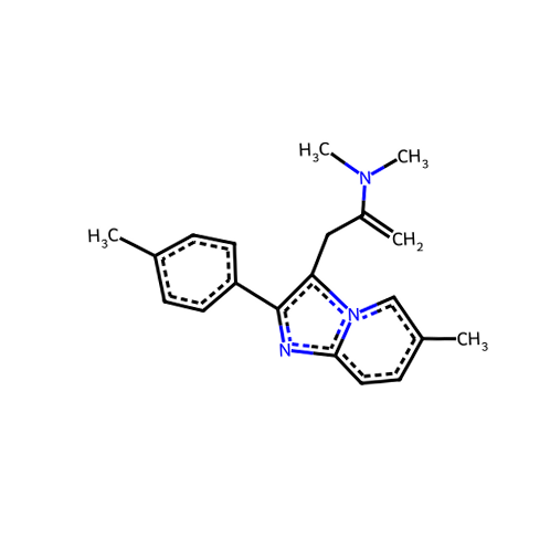 C=C(Cc1c(-c2ccc(C)cc2)nc2ccc(C)cn12)N(C)C